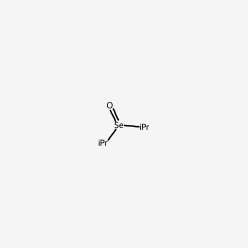 CC(C)[Se](=O)C(C)C